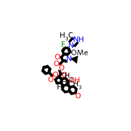 COc1c(N2CCNC(C)C2)c(F)cc2c(=O)c(C(=O)OCC(=O)[C@]3(OC(=O)c4ccccc4)CC[C@@H]4[C@H]5CCC6=CC(=O)CC[C@@]6(C)C5[C@H](O)C[C@]43C)cn(C3CC3)c12